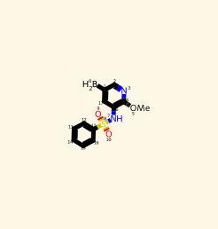 Bc1cnc(OC)c(NS(=O)(=O)c2ccccc2)c1